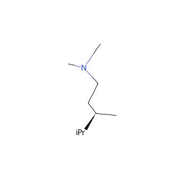 CC(C)[C@H](C)CCN(C)C